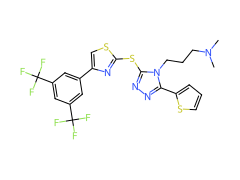 CN(C)CCCn1c(Sc2nc(-c3cc(C(F)(F)F)cc(C(F)(F)F)c3)cs2)nnc1-c1cccs1